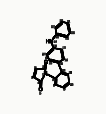 O=C1C=CC(=O)N1c1ccccc1-c1ccc(Nc2ccccc2)cc1